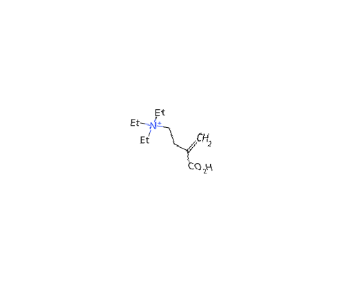 C=C(CC[N+](CC)(CC)CC)C(=O)O